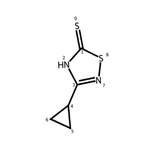 S=c1[nH]c(C2CC2)ns1